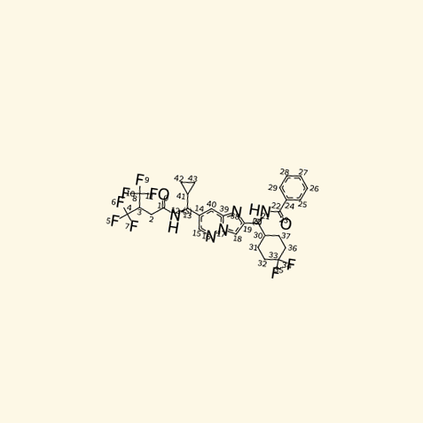 O=C(CC(C(F)(F)F)C(F)(F)F)N[C@H](c1cnn2cc([C@@H](NC(=O)c3ccccc3)C3CCC(F)(F)CC3)nc2c1)C1CC1